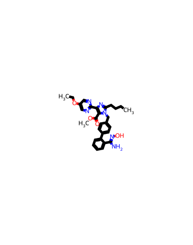 CCCCc1nc(-c2ncc(OCC)cn2)c(C(=O)OC)n1Cc1ccc(-c2ccccc2C(N)=NO)cc1